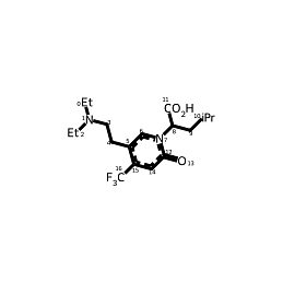 CCN(CC)CCc1cn(C(CC(C)C)C(=O)O)c(=O)cc1C(F)(F)F